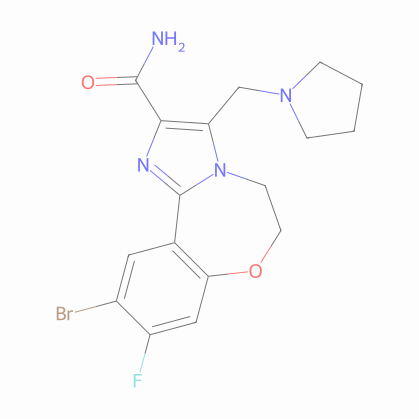 NC(=O)c1nc2n(c1CN1CCCC1)CCOc1cc(F)c(Br)cc1-2